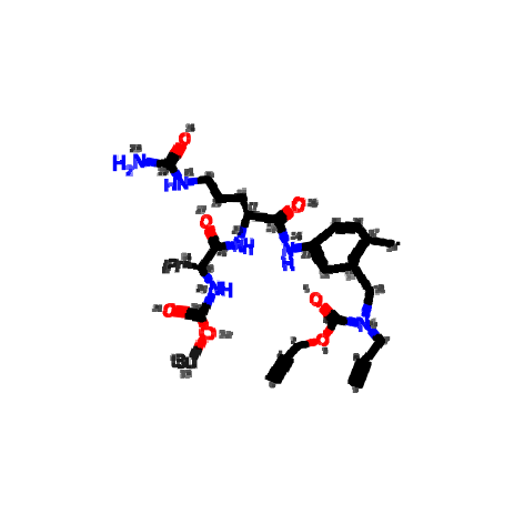 C#CCOC(=O)N(CC#C)Cc1cc(NC(=O)[C@H](CCCNC(N)=O)NC(=O)[C@@H](NC(=O)OC(C)(C)C)C(C)C)ccc1[CH2]